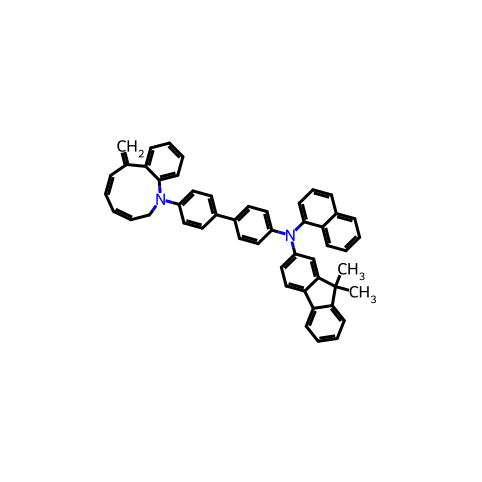 C=C1/C=C\C=C/CN(c2ccc(-c3ccc(N(c4ccc5c(c4)C(C)(C)c4ccccc4-5)c4cccc5ccccc45)cc3)cc2)c2ccccc21